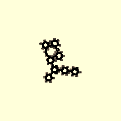 C1=C\c2ccc(-c3cc(-c4ccccc4)nc(-c4ccc(-c5cccnc5)cc4)n3)cc2-c2ccccc2Oc2ccccc2-c2ccccc2/1